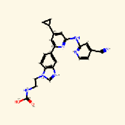 N#Cc1ccnc(Nc2cc(C3CC3)cc(-c3ccc4c(c3)ncn4CCNC(=O)O)n2)c1